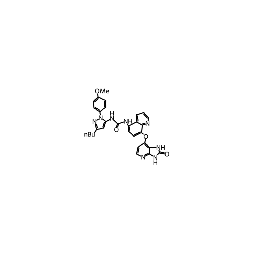 CCCCc1cc(NC(=O)Nc2ccc(Oc3ccnc4[nH]c(=O)[nH]c34)c3ncccc23)n(-c2ccc(OC)cc2)n1